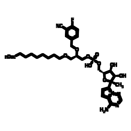 CCCCCCCCCCCCCCCCCCOC[C@H](COP(=O)(O)OC[C@H]1O[C@@](C)(c2ccc3c(N)ncnn23)[C@H](O)[C@@H]1O)OCc1ccc(F)c(C#N)c1